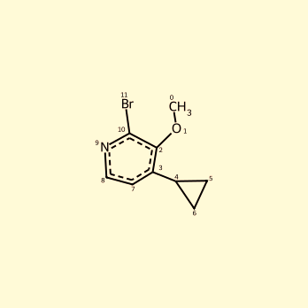 COc1c(C2CC2)ccnc1Br